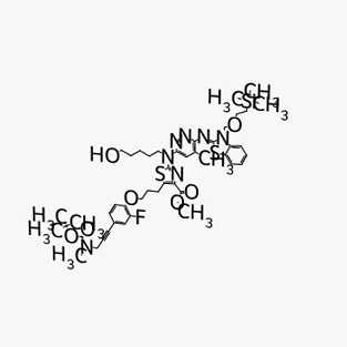 COC(=O)c1nc(N(CCCCCO)c2cc(C)c(/N=c3\sc4ccccc4n3COCC[Si](C)(C)C)nn2)sc1CCCOc1ccc(C#CCN(C)C(=O)OC(C)(C)C)cc1F